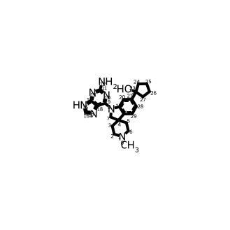 CN1CCC2(CC1)CN(c1nc(N)nc3[nH]cnc13)c1cc(C3(O)CCCC3)ccc12